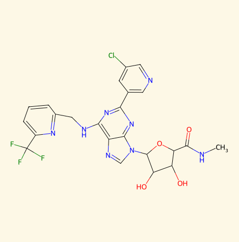 CNC(=O)C1OC(n2cnc3c(NCc4cccc(C(F)(F)F)n4)nc(-c4cncc(Cl)c4)nc32)C(O)C1O